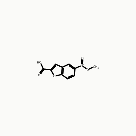 CO[N+](=O)c1ccc2oc(C(=O)O)cc2c1